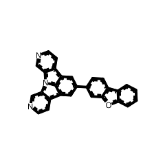 c1ccc2c(c1)oc1cc(-c3cc4c5ccncc5n5c6cnccc6c(c3)c45)ccc12